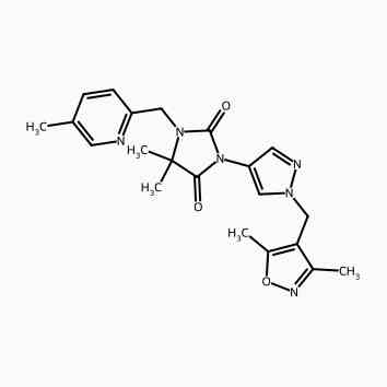 Cc1ccc(CN2C(=O)N(c3cnn(Cc4c(C)noc4C)c3)C(=O)C2(C)C)nc1